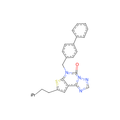 CC(C)CCc1cc2c(s1)n(Cc1ccc(-c3ccccc3)cc1)c(=O)n1ncnc21